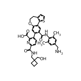 Cc1cc(CN)cc(C)c1NC(=O)c1cc2c(cc1-c1ccc(C(=O)NCC3(CO)CCC3)nc1C(=O)O)OCCc1ccsc1-2